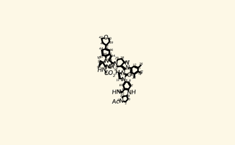 CC(=O)N1CCC(Nc2ccc(-n3ccn(-c4c5c(nn4-c4cc(C)c(F)c(C)c4)CCN(C(=O)c4cc6cc(C7CCOCC7)ccc6n4[C@@]4(C(=N)NC(=O)O)C[C@@H]4C)[C@H]5C)c3=O)cc2C=N)C1